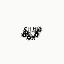 O=C(O)CC(Oc1ccccc1NC(=O)c1cccc(NC2=CCCCN2)c1)c1ccccc1